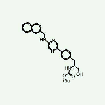 CC(C)(C)OC(=O)N[C@H](CO)Cc1ccc(-c2cnc(NCc3ccc4ccccc4c3)cn2)cc1